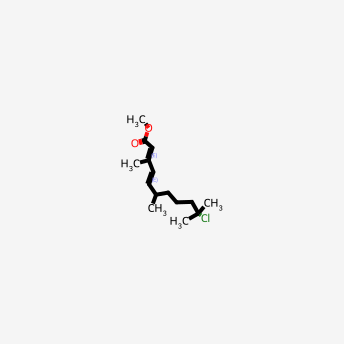 COC(=O)/C=C(C)/C=C/C(C)CCCC(C)(C)Cl